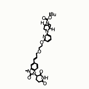 Cn1c(=O)n(C2CCC(=O)NC2=O)c2ccc(C=CCOCCOc3cccc(N4C[C@H]5C[C@@H]4CN5C(=O)OC(C)(C)C)n3)cc21